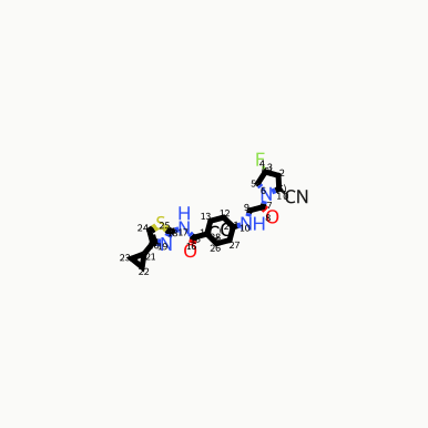 N#C[C@@H]1C[C@H](F)CN1C(=O)CNC12CCC(C(=O)Nc3nc(C4CC4)cs3)(CC1)CC2